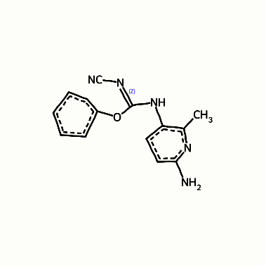 Cc1nc(N)ccc1N/C(=N/C#N)Oc1ccccc1